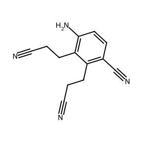 N#CCCc1c(N)ccc(C#N)c1CCC#N